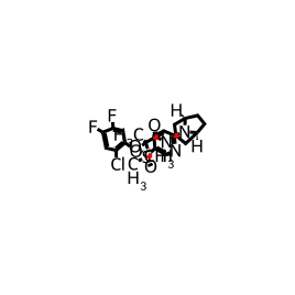 CC(C)(Oc1cc(F)c(F)cc1Cl)C(=O)N[C@H]1C[C@H]2CC[C@@H](C1)N2c1ccc(S(C)(=O)=O)cn1